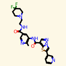 Cc1ncc(C(=O)NCCN2CCC(F)(F)CC2)cc1NC(=O)c1cnn2cc(-c3cccnc3)sc12